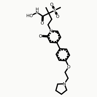 CC(CCn1ccc(-c2ccc(OCCN3CCCC3)cc2)cc1=O)(C(=O)NO)S(C)(=O)=O